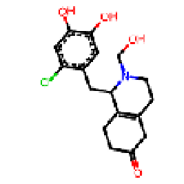 O=C1CCC2=C(CCN(CO)[C@@H]2Cc2cc(O)c(O)cc2Cl)C1